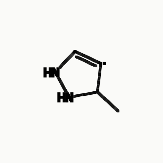 CC1[C]=CNN1